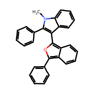 Cn1c(-c2ccccc2)c(-c2oc(-c3ccccc3)c3ccccc23)c2ccccc21